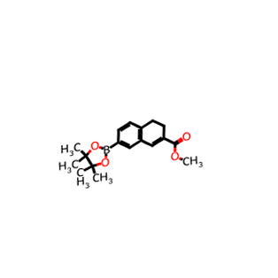 COC(=O)C1=Cc2cc(B3OC(C)(C)C(C)(C)O3)ccc2CC1